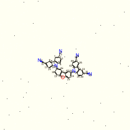 N#Cc1ccc2c(c1)c1cc(C#N)ccc1n2-c1ccc2oc3ccc(-n4c5ccc(C#N)cc5c5cc(C#N)ccc54)cc3c2c1